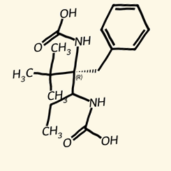 CCC(NC(=O)O)[C@](Cc1ccccc1)(NC(=O)O)C(C)(C)C